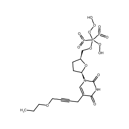 CCCOCC#CCc1cn([C@H]2CC[C@@H](COP(OO)(OOO)(P(=O)=O)P(=O)=O)O2)c(=O)[nH]c1=O